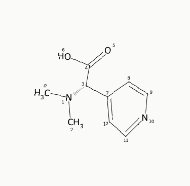 CN(C)[C@H](C(=O)O)c1ccncc1